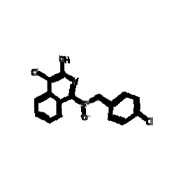 [O-][S+](Cc1ccc(Cl)cc1)c1nc(O)c(Cl)c2ccccc12